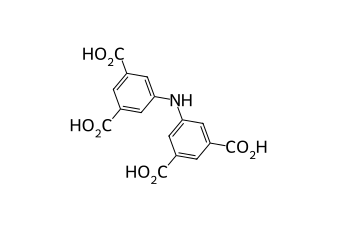 O=C(O)c1cc(Nc2cc(C(=O)O)cc(C(=O)O)c2)cc(C(=O)O)c1